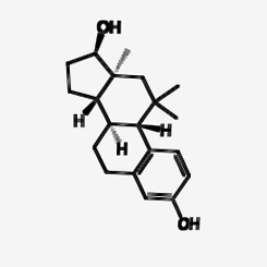 CC1(C)C[C@]2(C)[C@H](O)CC[C@H]2[C@@H]2CCc3cc(O)ccc3[C@H]21